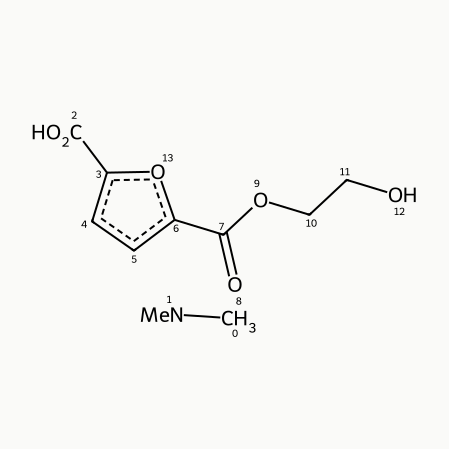 CNC.O=C(O)c1ccc(C(=O)OCCO)o1